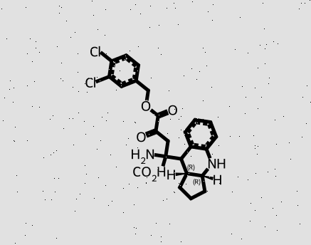 NC(CC(=O)C(=O)OCc1ccc(Cl)c(Cl)c1)(C(=O)O)C1c2ccccc2N[C@@H]2CCC[C@H]12